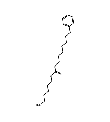 CCCCCCOC(=O)OCCCCCCCc1ccccc1